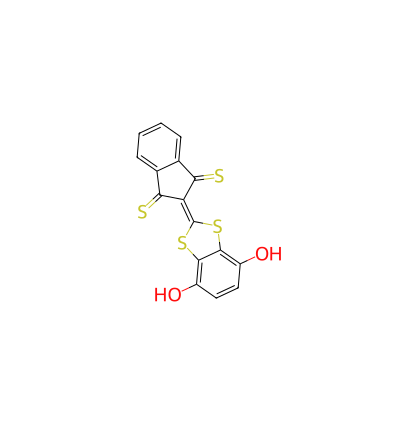 Oc1ccc(O)c2c1SC(=C1C(=S)c3ccccc3C1=S)S2